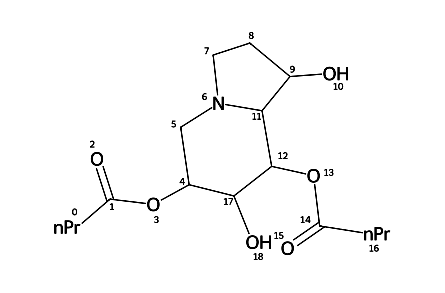 CCCC(=O)OC1CN2CCC(O)C2C(OC(=O)CCC)C1O